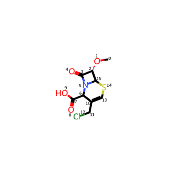 CO[C@H]1C(=O)N2C(C(=O)O)C(CCl)=CSC12